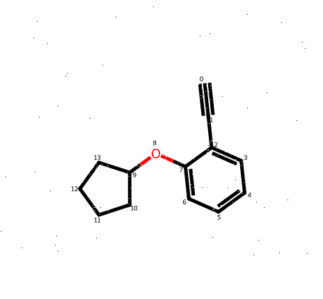 C#Cc1ccccc1OC1CCCC1